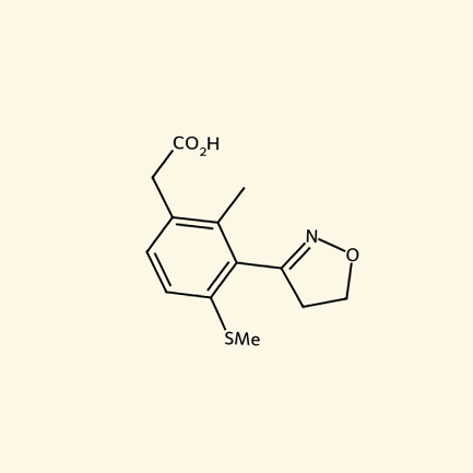 CSc1ccc(CC(=O)O)c(C)c1C1=NOCC1